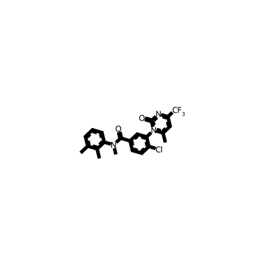 Cc1cccc(N(C)C(=O)c2ccc(Cl)c(-n3c(C)cc(C(F)(F)F)nc3=O)c2)c1C